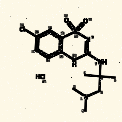 CN(C)CC(C)(C)NC1=NS(=O)(=O)c2cc(Cl)ccc2N1.Cl